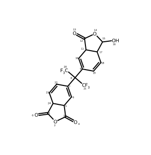 O=C1OC(=O)C2C=C(C(C3=CC4C(=O)OC(O)C4C=C3)(C(F)(F)F)C(F)(F)F)C=CC12